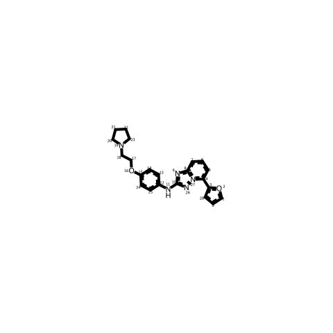 c1coc(-c2cccc3nc(Nc4ccc(OCCN5CCCC5)cc4)nn23)c1